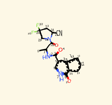 CC(NC(=O)c1c[nH]c(=O)c2ccccc12)C(=O)N1CC(F)(F)CC1C#N